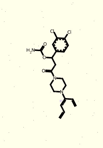 C=C/C=C(\C=C)N1CCN(C(=O)CC(OC(N)=O)c2ccc(Cl)c(Cl)c2)CC1